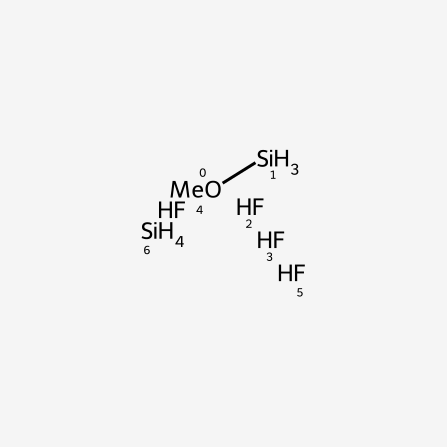 CO[SiH3].F.F.F.F.[SiH4]